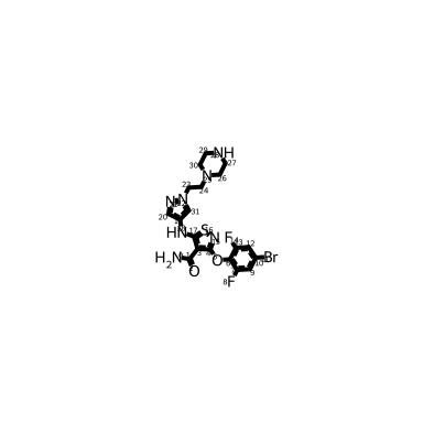 NC(=O)c1c(Oc2c(F)cc(Br)cc2F)nsc1Nc1cnn(CCN2CCNCC2)c1